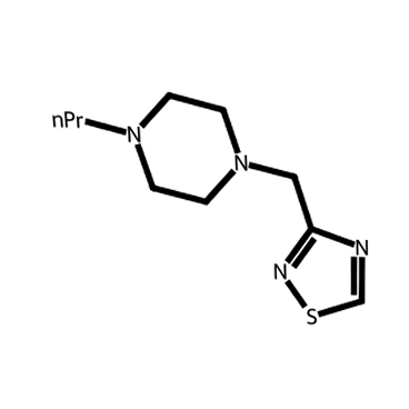 CCCN1CCN(Cc2ncsn2)CC1